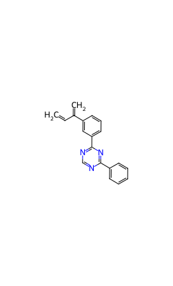 C=CC(=C)c1cccc(-c2ncnc(-c3ccccc3)n2)c1